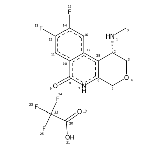 CN[C@@H]1COCc2[nH]c(=O)c3cc(F)c(F)cc3c21.O=C(O)C(F)(F)F